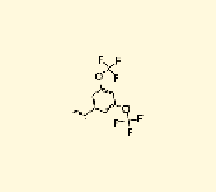 C=[C]c1cc(OC(F)(F)F)cc(OC(F)(F)F)c1